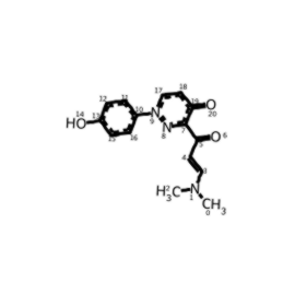 CN(C)/C=C/C(=O)c1nn(-c2ccc(O)cc2)ccc1=O